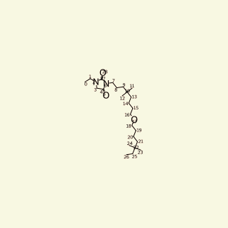 CCN1CC(=O)N(CCCC(C)(C)CCCCOCCCCC(C)(C)CC)C1=O